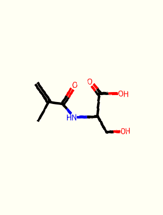 C=C(C)C(=O)NC(CO)C(=O)O